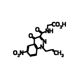 C=CCn1nc(C(=O)NCC(=O)O)c(=O)c2cc([N+](=O)[O-])ccc21